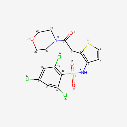 O=C(Cc1sccc1NS(=O)(=O)c1c(Cl)cc(Cl)cc1Cl)N1CCOCC1